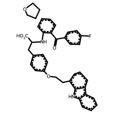 C1CCOC1.O=C(c1ccc(F)cc1)c1ccccc1NC(Cc1ccc(OCCc2cccc3c2[nH]c2ccccc23)cc1)C(=O)O